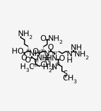 CC[C@H](C)[C@H](NC(=O)[C@H](CCC(N)=O)NC(=O)[C@H](CCCNC(=N)N)NC(=O)[C@@H](N)CCSC)C(=O)N[C@@H](CCCCN)C(=O)O